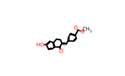 COC(=O)c1ccc(/C=C2\CCc3cc(O)ccc3C2=O)cc1